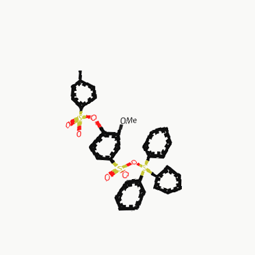 COc1cc(S(=O)(=O)OS(c2ccccc2)(c2ccccc2)c2ccccc2)ccc1OS(=O)(=O)c1ccc(C)cc1